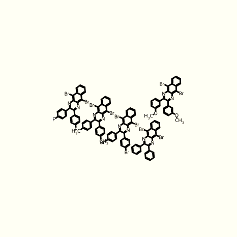 Brc1c2ccccc2c(Br)c2nc(-c3ccccc3)c(-c3ccccc3)nc12.Brc1ccc(-c2nc3c(Br)c4ccccc4c(Br)c3nc2-c2ccc(Br)cc2)cc1.COc1cccc(-c2nc3c(Br)c4ccccc4c(Br)c3nc2-c2cccc(OC)c2)c1.Cc1ccc(-c2nc3c(Br)c4ccccc4c(Br)c3nc2-c2ccc(C)cc2)cc1.Fc1ccc(-c2nc3c(Br)c4ccccc4c(Br)c3nc2-c2ccc(F)cc2)cc1